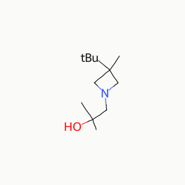 CC(C)(O)CN1CC(C)(C(C)(C)C)C1